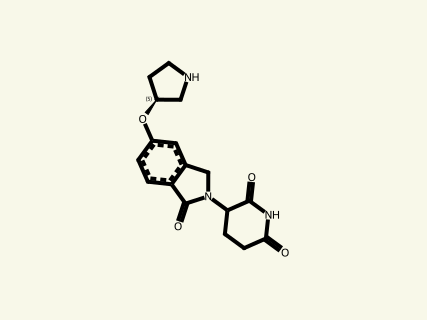 O=C1CCC(N2Cc3cc(O[C@H]4CCNC4)ccc3C2=O)C(=O)N1